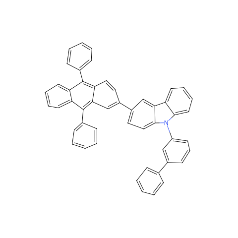 c1ccc(-c2cccc(-n3c4ccccc4c4cc(-c5ccc6c(-c7ccccc7)c7ccccc7c(-c7ccccc7)c6c5)ccc43)c2)cc1